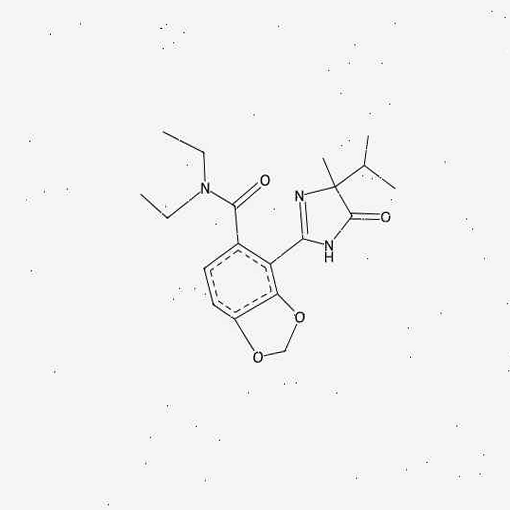 CCN(CC)C(=O)c1ccc2c(c1C1=NC(C)(C(C)C)C(=O)N1)OCO2